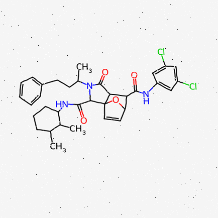 CC1CCCC(NC(=O)C2N(C(C)CCc3ccccc3)C(=O)C3C(C(=O)Nc4cc(Cl)cc(Cl)c4)C4C=CC32O4)C1C